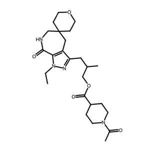 CCn1nc(CC(C)COC(=O)C2CCN(C(C)=O)CC2)c2c1C(=O)NCC1(CCOCC1)C2